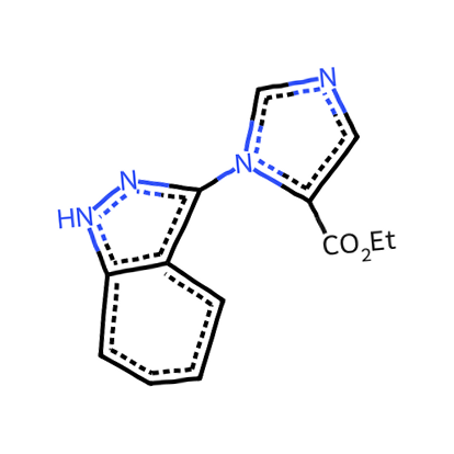 CCOC(=O)c1cncn1-c1n[nH]c2ccccc12